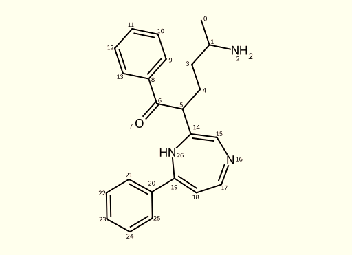 CC(N)CCC(C(=O)c1ccccc1)C1=CN=CC=C(c2ccccc2)N1